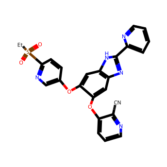 CCS(=O)(=O)c1ccc(Oc2cc3[nH]c(-c4ccccn4)nc3cc2Oc2cccnc2C#N)cn1